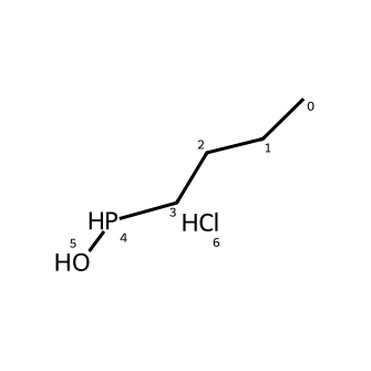 CCCCPO.Cl